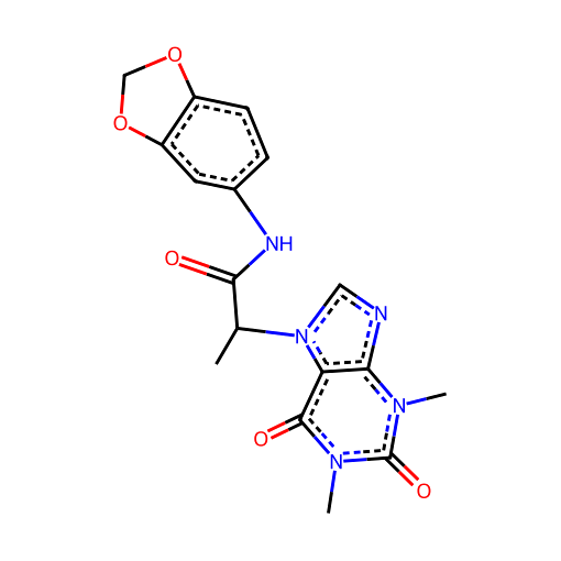 CC(C(=O)Nc1ccc2c(c1)OCO2)n1cnc2c1c(=O)n(C)c(=O)n2C